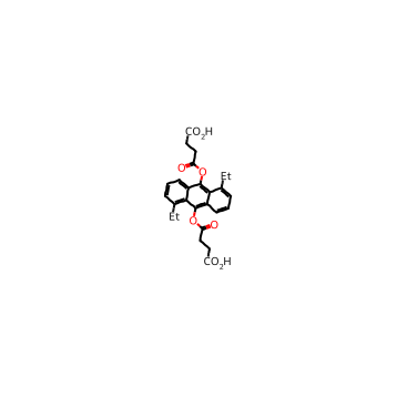 CCc1cccc2c(OC(=O)CCC(=O)O)c3c(CC)cccc3c(OC(=O)CCC(=O)O)c12